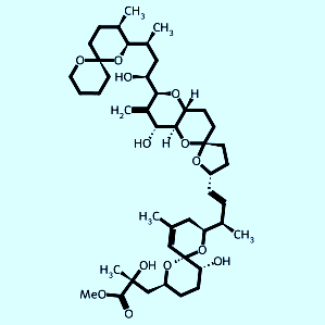 C=C1[C@@H](O)[C@@H]2O[C@]3(CC[C@H](/C=C/[C@@H](C)[C@@H]4CC(C)=C[C@@]5(O[C@H](C[C@@](C)(O)C(=O)OC)CC[C@H]5O)O4)O3)CC[C@H]2O[C@@H]1[C@@H](O)C[C@H](C)[C@H]1O[C@@]2(CCCCO2)CC[C@H]1C